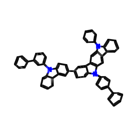 c1ccc(-c2ccc(-n3c4ccc(-c5ccc6c(c5)c5ccccc5n6-c5cccc(-c6ccccc6)c5)cc4c4cc5c(cc43)c3ccccc3n5-c3ccccc3)cc2)cc1